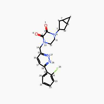 O=C1C(=O)N(C2CC3CC3C2)CCN1Cc1ccc(-c2ccccc2F)nn1